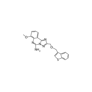 COc1cccc2c1nc(N)n1nc(COCc3csc4ccccc34)nc21